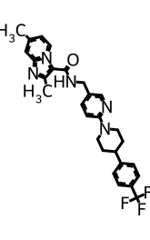 Cc1ccn2c(C(=O)NCc3ccc(N4CCC(c5ccc(C(F)(F)F)cc5)CC4)nc3)c(C)nc2c1